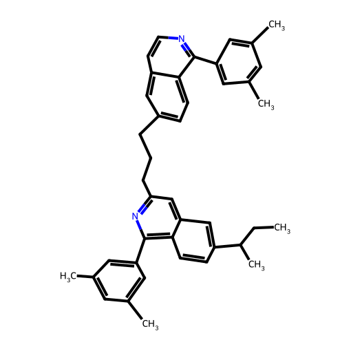 CCC(C)c1ccc2c(-c3cc(C)cc(C)c3)nc(CCCc3ccc4c(-c5cc(C)cc(C)c5)nccc4c3)cc2c1